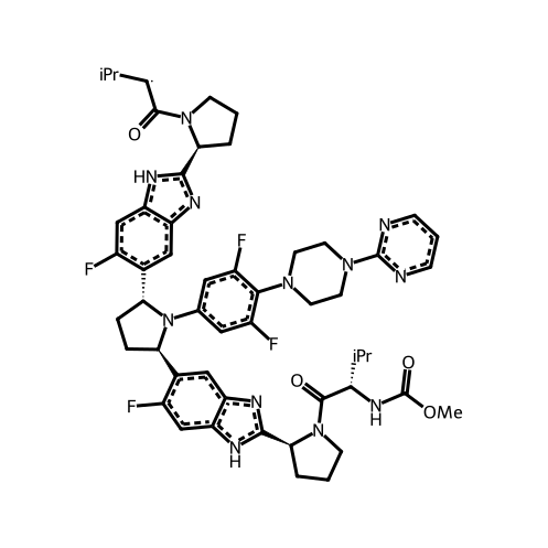 COC(=O)N[C@H](C(=O)N1CCC[C@H]1c1nc2cc([C@H]3CC[C@H](c4cc5nc([C@@H]6CCCN6C(=O)[CH]C(C)C)[nH]c5cc4F)N3c3cc(F)c(N4CCN(c5ncccn5)CC4)c(F)c3)c(F)cc2[nH]1)C(C)C